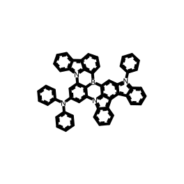 c1ccc(N(c2ccccc2)c2cc3c4c(c2)-n2c5ccccc5c5c6c7ccccc7n(-c7ccccc7)c6cc(c52)B4c2cccc4c5ccccc5n-3c24)cc1